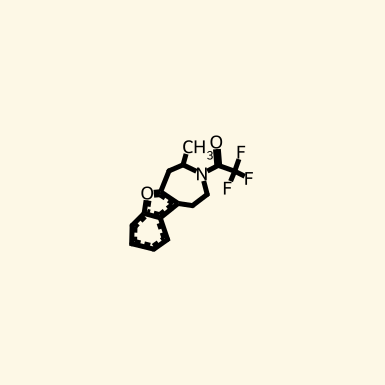 CC1Cc2oc3ccccc3c2CCN1C(=O)C(F)(F)F